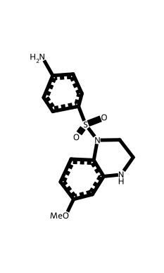 COc1ccc2c(c1)NCCN2S(=O)(=O)c1ccc(N)cc1